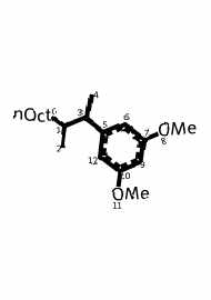 CCCCCCCCC(C)C(C)c1cc(OC)cc(OC)c1